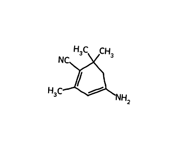 CC1=C(C#N)C(C)(C)CC(N)=C1